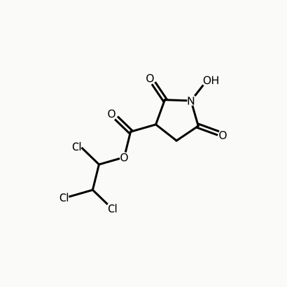 O=C(OC(Cl)C(Cl)Cl)C1CC(=O)N(O)C1=O